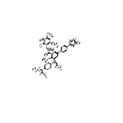 CCN(c1cc(-c2ccc(-c3nn[nH]n3)cc2)cc(C(=O)NCc2c(C)cc(C)[nH]c2=O)c1C)[C@H]1CC[C@H](N(C)C)CC1